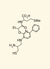 CCC(Oc1nc(-c2ccccc2)ccc1NCC(N)CS)C(=O)NC(CCSC)C(=O)O